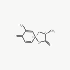 CC1=C[C@@]2(C=CC1=O)C[C@@H](C)C(=O)O2